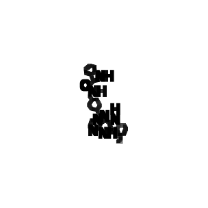 Nc1nccn2c(C3CCC(CNC(=O)c4c[nH]c5ccccc45)CC3)nc(-c3cc4ccccc4[nH]3)c12